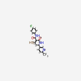 O=C(Nc1ccc(F)cc1)C1=C(S)CC(c2ccc(C(F)(F)F)nc2)NC1=O